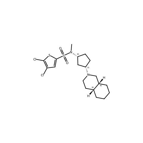 CN([C@@H]1CC[C@H](N2CC[C@H]3CCCC[C@H]3C2)C1)S(=O)(=O)c1cc(Cl)c(Cl)s1